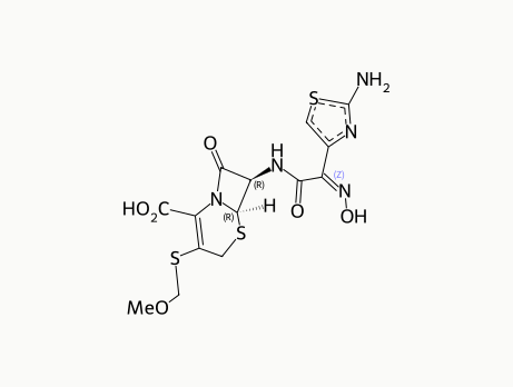 COCSC1=C(C(=O)O)N2C(=O)[C@@H](NC(=O)/C(=N\O)c3csc(N)n3)[C@H]2SC1